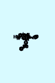 C[C@H](OCC[Si](C)(C)C)c1ccc2[nH]ncc2c1N1CCc2c(nc(OCCCN3CCOCC3)nc2N2CCN(C(=O)OCc3ccccc3)CC2)C1